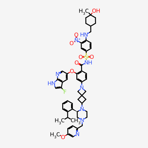 COc1ccc(CN2CCN(C3CC4(C3)CN(c3ccc(C(=O)NS(=O)(=O)c5ccc(NCC6CCC(C)(O)CC6)c([N+](=O)[O-])c5)c(Oc5cnc6[nH]cc(F)c6c5)c3)C4)[C@H](c3ccccc3C(C)C)C2)nc1